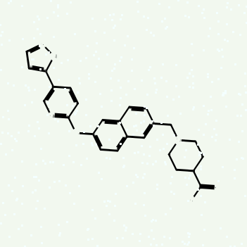 NC(=O)C1CCN(Cc2ccc3cc(Oc4ccc(-c5ccn[nH]5)cn4)ccc3c2)CC1